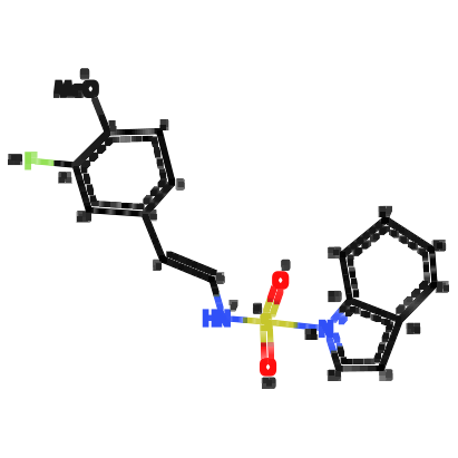 COc1ccc(/C=C/NS(=O)(=O)n2ccc3ccccc32)cc1F